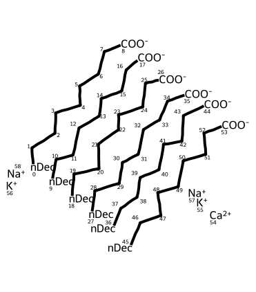 CCCCCCCCCCCCCCCCCC(=O)[O-].CCCCCCCCCCCCCCCCCC(=O)[O-].CCCCCCCCCCCCCCCCCC(=O)[O-].CCCCCCCCCCCCCCCCCC(=O)[O-].CCCCCCCCCCCCCCCCCC(=O)[O-].CCCCCCCCCCCCCCCCCC(=O)[O-].[Ca+2].[K+].[K+].[Na+].[Na+]